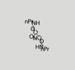 CCCNCCOc1ccc2c(c1)c(=O)n(C)c1cc(OCCNCCC)ccc21